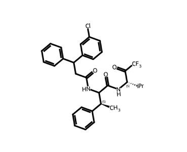 CC(C)[C@H](NC(=O)C(NC(=O)CC(c1ccccc1)c1cccc(Cl)c1)[C@@H](C)c1ccccc1)C(=O)C(F)(F)F